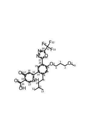 COCCCOc1cc(CCC(C)C)c(-c2cc(=O)c(C(=O)O)c[nH]2)cc1-c1nnc(C(F)(F)F)o1